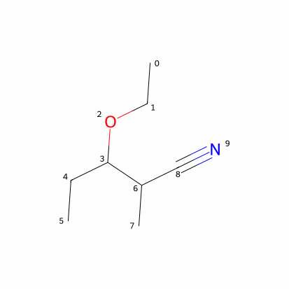 CCOC(CC)C(C)C#N